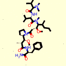 CCCC(C)C([C@@H](CC(=O)N1CCC[C@H]1[C@H](OC)[C@@H](C)C(=O)N[C@@H](Cc1ccccc1)C(N)=O)OC)N(C)C(=O)[C@@H](NC(=O)C(C(C)C)N(C)C)C(C)C